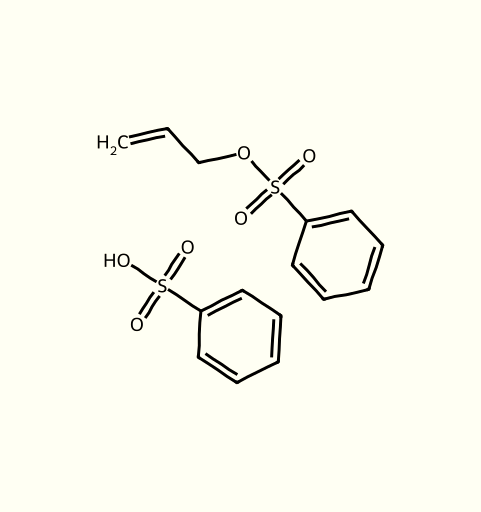 C=CCOS(=O)(=O)c1ccccc1.O=S(=O)(O)c1ccccc1